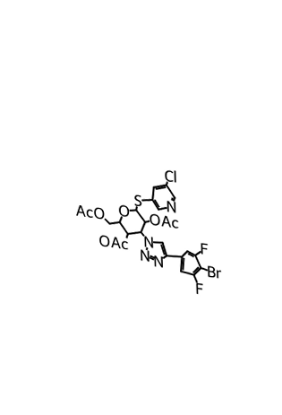 CC(=O)OCC1OC(Sc2cncc(Cl)c2)C(OC(C)=O)C(n2cc(-c3cc(F)c(Br)c(F)c3)nn2)C1OC(C)=O